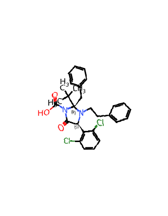 CC(C)(C)[C@@]1(Cc2ccccc2)N(C(=O)O)C(=O)[C@H](c2c(Cl)cccc2Cl)N1CCc1ccccc1